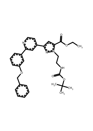 CCOC(=O)c1cc(-c2ccnc(-c3cccc(OCc4ccccc4)c3)c2)nn1CCNC(=O)OC(C)(C)C